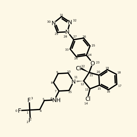 FC(F)(F)CCNC1CCCN([C@H]2C(Cl)c3ccccc3[C@@]2(Cl)Oc2ccc(-n3cncn3)cc2)C1